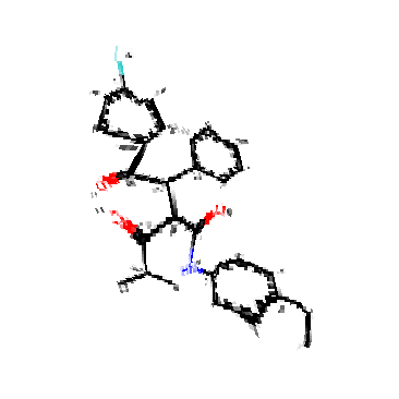 CCc1ccc(NC(=O)C(C(=O)C(C)C)C(C(=O)c2ccc(F)cc2)c2ccccc2)cc1